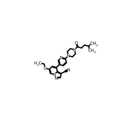 CCOc1cc(-c2ccc(N3CCN(C(=O)CCC(C)C)CC3)nc2)c2c(C#N)cnn2c1